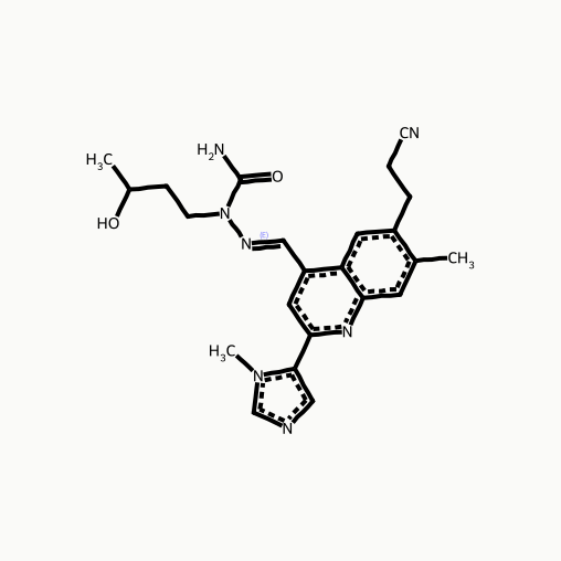 Cc1cc2nc(-c3cncn3C)cc(/C=N/N(CCC(C)O)C(N)=O)c2cc1CCC#N